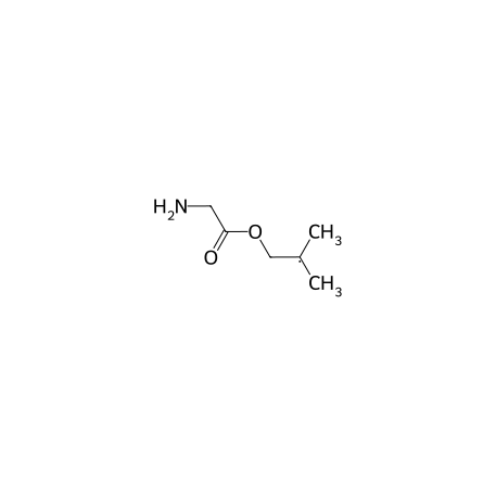 C[C](C)COC(=O)CN